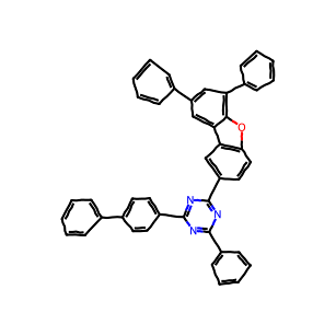 c1ccc(-c2ccc(-c3nc(-c4ccccc4)nc(-c4ccc5oc6c(-c7ccccc7)cc(-c7ccccc7)cc6c5c4)n3)cc2)cc1